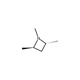 C[C@@H]1C[C@@H](C)N1C